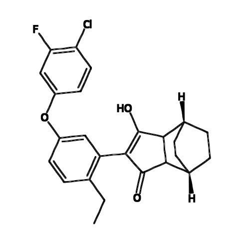 CCc1ccc(Oc2ccc(Cl)c(F)c2)cc1C1=C(O)C2C(C1=O)[C@H]1CC[C@@H]2CC1